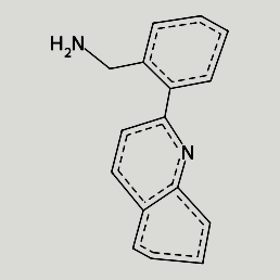 NCc1ccccc1-c1ccc2ccccc2n1